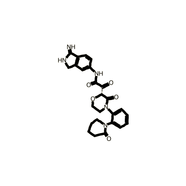 N=C1NCc2cc(NC(=O)C(=O)[C@H]3OCCN(c4ccccc4N4CCCCC4=O)C3=O)ccc21